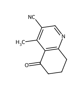 Cc1c(C#N)cnc2c1C(=O)CCC2